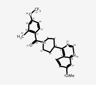 COc1ccc2c(C3CCN(C(=O)c4ccc(OC(F)(F)F)cc4C)CC3)ncnc2c1